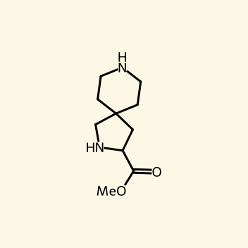 COC(=O)C1CC2(CCNCC2)CN1